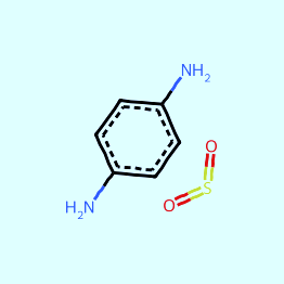 Nc1ccc(N)cc1.O=S=O